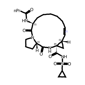 CCCC(=O)N[C@H]1CCCCC/C=C\[C@@H]2C[C@@]2(C(=O)NS(=O)(=O)C2CC2)NC(=O)[C@@H]2CCCN2C1=O